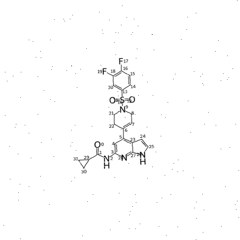 O=C(Nc1cc(C2=CCN(S(=O)(=O)c3ccc(F)c(F)c3)CC2)c2cc[nH]c2n1)C1CC1